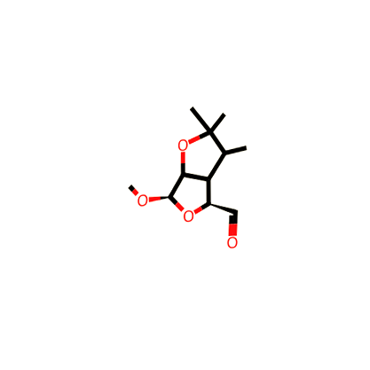 CO[C@@H]1O[C@H](C=O)C2C1OC(C)(C)C2C